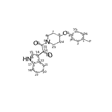 Cc1ccc(OC2CCN(C(=O)C(=O)c3c[nH]c4ccccc34)CC2)cc1